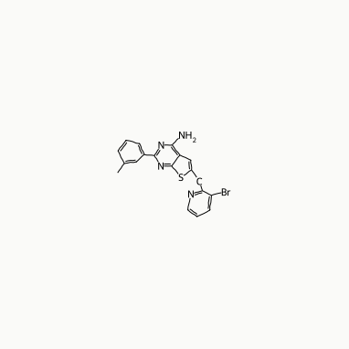 Cc1cccc(-c2nc(N)c3cc(Cc4ncccc4Br)sc3n2)c1